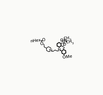 CCCCCCC(=O)OCCC1CCN(CCCN2c3cc(OC)ccc3Sc3c2cccc3S(=O)(=O)N(C)C)CC1